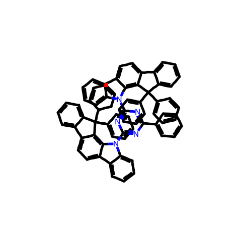 C1=CCC(C2(c3ccccc3)c3ccccc3-c3ccc4c5ccccc5n(-c5nc(-c6ccccc6)nc(-n6c7ccccc7c7ccc8c(c76)C(c6ccccc6)(c6ccccc6)c6ccccc6-8)n5)c4c32)C=C1